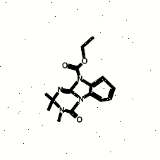 CCOC(=O)N1C2=NC(C)(C)N(C)C(=O)N2c2ccccc21